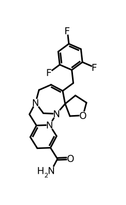 NC(=O)C1=CN2C(=CC1)CN1CC=C(Cc3c(F)cc(F)cc3F)C3(CCOC3)N2C1